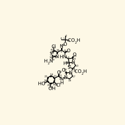 CC(C)(O/N=C(\C(=O)NC1C(=O)N2C[C@@](C(=O)O)(N3CCN(NC(=O)c4ccc(O)c(O)c4Cl)C3=O)S[C@H]12)c1nc(N)sc1Cl)C(=O)O